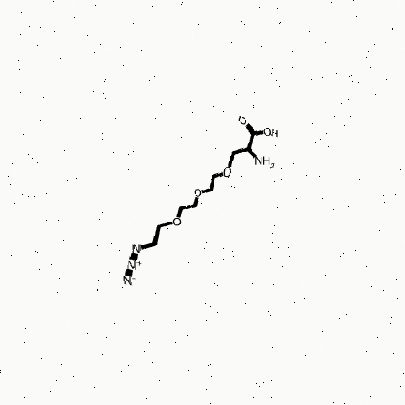 [N-]=[N+]=NCCOCCOCCOCC(N)C(=O)O